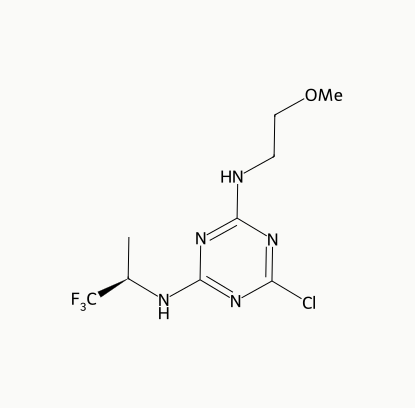 COCCNc1nc(Cl)nc(N[C@H](C)C(F)(F)F)n1